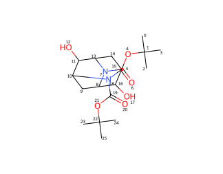 CC(C)(C)OC(=O)N1C2CC3C(O)C1CC(C2O)N3C(=O)OC(C)(C)C